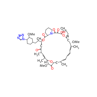 COC1CC(C[C@@H](C)[C@@H]2CC(=O)C(C)/C=C(\C)[C@H]3OC(C[C@H](C)/C=C/C=C/C=C(\C)[C@@H](OC)C[C@@H]4CCC(C)C(O)(O4)C(=O)C(=O)N4CCCCC4C(=O)O2)C(=O)C3OC)CCC1n1cnnn1